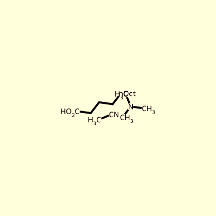 CC#N.CCCCCCCCCCCC(=O)O.CN(C)C